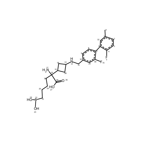 Cc1ccc(F)c(-c2ccc(CNC3CC(C(N)(CCCCB(O)O)C(=O)O)C3)cc2F)c1